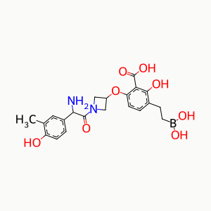 Cc1cc(C(N)C(=O)N2CC(Oc3ccc(CCB(O)O)c(O)c3C(=O)O)C2)ccc1O